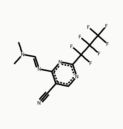 CN(C)C=Nc1nc(C(F)(F)C(F)(F)C(F)(F)F)ncc1C#N